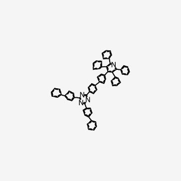 c1ccc(-c2ccc(-c3nc(-c4ccc(-c5ccccc5)cc4)nc(-c4ccc(-c5ccc(-c6c(-c7ccccc7)c(-c7ccccc7)nc(-c7ccccc7)c6-c6ccccc6)cc5)cc4)n3)cc2)cc1